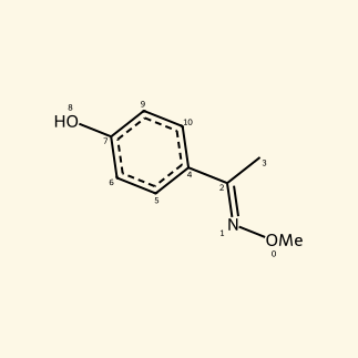 CO/N=C(\C)c1ccc(O)cc1